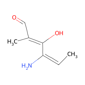 C/C=C(N)\C(O)=C(/C)C=O